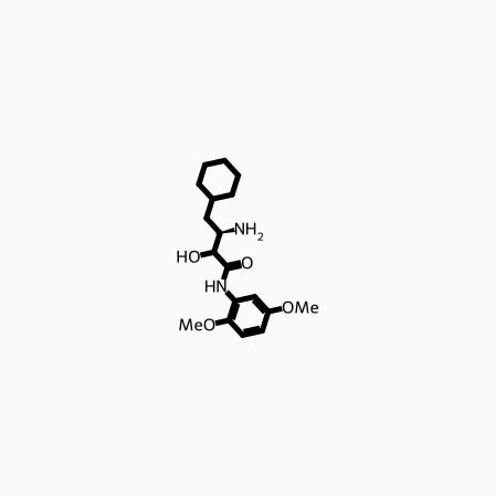 COc1ccc(OC)c(NC(=O)C(O)[C@H](N)CC2CCCCC2)c1